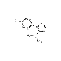 C[C@H](N)c1ncnn1-c1ccc(Cl)nn1